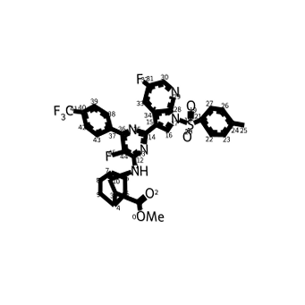 COC(=O)C1C2CCC(CC2)C1Nc1nc(-c2cn(S(=O)(=O)c3ccc(C)cc3)c3ncc(F)cc23)nc(-c2ccc(C(F)(F)F)cc2)c1F